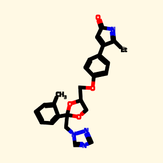 CCC1=NC(=O)C=C1c1ccc(OCC2COC(Cn3cncn3)(c3ccccc3C)O2)cc1